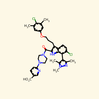 Cc1cc(OCCCc2c(C(=O)N3CCN(c4ccc(C(=O)O)cn4)CC3)[nH]c3c(-c4c(C)nn(C)c4C)c(Cl)ccc23)cc(C)c1Cl